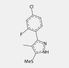 CSc1[nH]nc(-c2ccc(Cl)cc2F)c1C